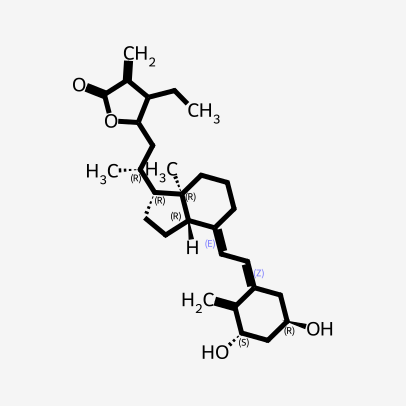 C=C1C(=O)OC(C[C@@H](C)[C@H]2CC[C@H]3/C(=C/C=C4/C[C@@H](O)C[C@H](O)C4=C)CCC[C@]23C)C1CC